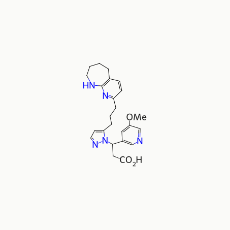 COc1cncc(C(CC(=O)O)n2nccc2CCCc2ccc3c(n2)NCCCC3)c1